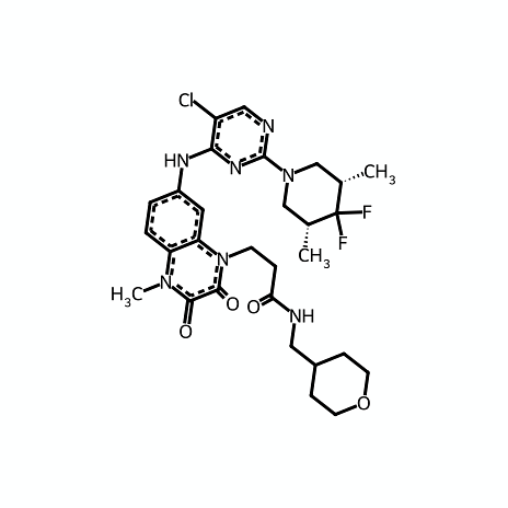 C[C@@H]1CN(c2ncc(Cl)c(Nc3ccc4c(c3)n(CCC(=O)NCC3CCOCC3)c(=O)c(=O)n4C)n2)C[C@H](C)C1(F)F